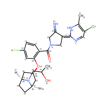 CC1=C(Cl)C=N/C(=C2\CN(C(=O)c3ccc(F)cc3O[C@H]3C[C@H]4CC[C@@H](C3)N4CC(C)O)CC2=N)N1